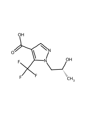 C[C@@H](O)Cn1ncc(C(=O)O)c1C(F)(F)F